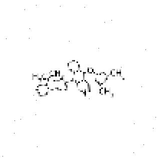 Cc1cc(C)cc(Oc2c3c(c(-c4ccc5c(c4)C(C)(C)c4ccccc4-5)c4cnccc24)=CCCC=3)c1